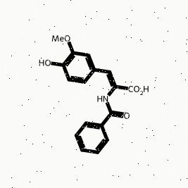 COc1cc(/C=C(\NC(=O)c2ccccc2)C(=O)O)ccc1O